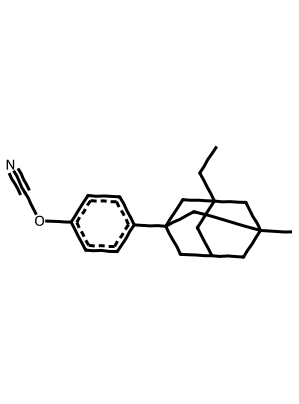 CCC12CC3CC(C)(C1)CC(c1ccc(OC#N)cc1)(C3)C2